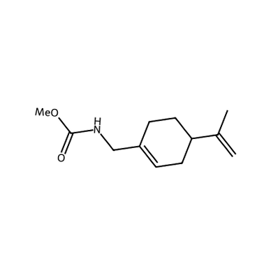 C=C(C)C1CC=C(CNC(=O)OC)CC1